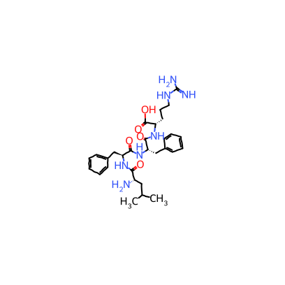 CC(C)C[C@H](N)C(=O)N[C@@H](Cc1ccccc1)C(=O)N[C@@H](Cc1ccccc1)C(=O)N[C@@H](CCCNC(=N)N)C(=O)O